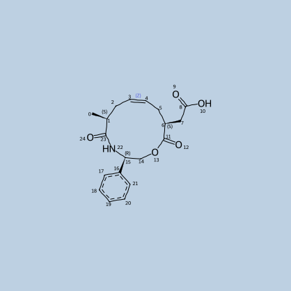 C[C@H]1C/C=C\C[C@@H](CC(=O)O)C(=O)OC[C@@H](c2ccccc2)NC1=O